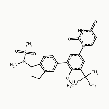 COc1c(-c2ccc3c(c2)CCC3N(N)S(C)(=O)=O)cc(-n2ccc(=O)[nH]c2=O)cc1C(C)(C)C